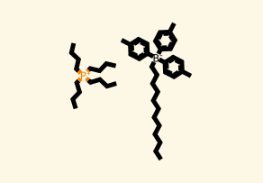 CCCCCCCCCCCC[B-](c1ccc(C)cc1)(c1ccc(C)cc1)c1ccc(C)cc1.CCCC[P+](CCCC)(CCCC)CCCC